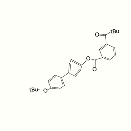 CC(C)(C)Oc1ccc(-c2ccc(OC(=O)c3cccc(C(=O)C(C)(C)C)c3)cc2)cc1